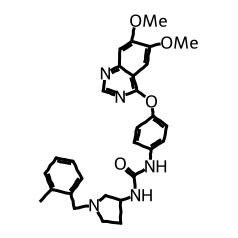 COc1cc2ncnc(Oc3ccc(NC(=O)NC4CCN(Cc5ccccc5C)C4)cc3)c2cc1OC